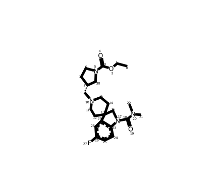 CCOC(=O)N1CC[C@@H](CN2CCC3(CC2)CN(C(=O)N(C)C)c2ccc(F)cc23)C1